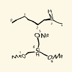 CCCNC.CO[SiH](OC)OC